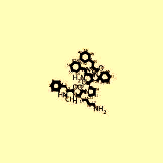 CN[C@@H](Cc1ccccc1)C(=O)N[C@@H](CCCCN)C(=O)N1CCC[C@H]1C(=O)[C@@H](CC1(NC(=O)[C@@H](N)CC2CCCCC2)C=CC=CC1)C(=O)[C@H](N)CC1CCCCC1